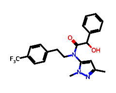 Cc1cc(N(CCc2ccc(C(F)(F)F)cc2)C(=O)C(O)c2ccccc2)n(C)n1